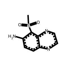 CS(=O)(=O)c1c(N)ccc2nccnc12